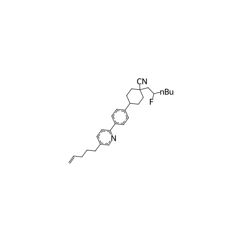 C=CCCCc1ccc(-c2ccc(C3CCC(C#N)(CC(F)CCCC)CC3)cc2)nc1